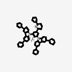 FC(F)(F)c1c(-n2c3ccc(-c4ccccc4)cc3c3cc(-c4ccccc4)ccc32)cc(-c2cccc(-c3ccccc3)n2)cc1-n1c2ccc(-c3ccccc3)cc2c2cc(-c3ccccc3)ccc21